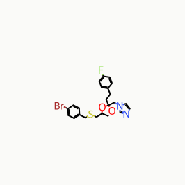 Fc1ccc(CCC2(Cn3ccnc3)OCC(CSCc3ccc(Br)cc3)O2)cc1